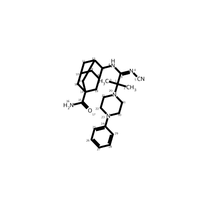 CC(C)(/C(=N\C#N)NC1C2CC3CC1CC(C(N)=O)(C3)C2)N1CCN(c2ccccc2)CC1